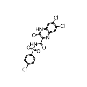 O=C(NS(=O)(=O)c1ccc(Cl)cc1)c1nc2cc(Cl)c(Cl)cc2[nH]c1=O